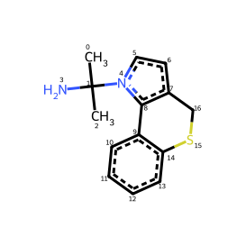 CC(C)(N)n1ccc2c1-c1ccccc1SC2